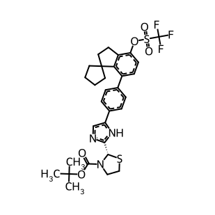 CC(C)(C)OC(=O)N1CCS[C@H]1c1ncc(-c2ccc(-c3ccc(OS(=O)(=O)C(F)(F)F)c4c3C3(CCCC3)CC4)cc2)[nH]1